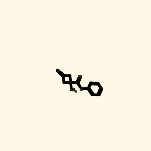 CC1(C(=O)Oc2ccccc2)CC(=O)C1